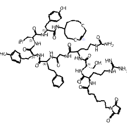 CC(C)C[C@H](NC(=O)[C@H](Cc1ccc(O)cc1)NC(=O)[C@H](CCc1ccccc1)NC(=O)CNC(=O)C(CCCNC(N)=O)NC(=O)[C@H](CO)NC(=O)C(CCCNC(=N)N)NC(=O)CCCCCN1C(=O)C=CC1=O)C(=O)N[C@@H](Cc1ccc(O)cc1)C(=O)NC1CCC/C=C\CCCCC1